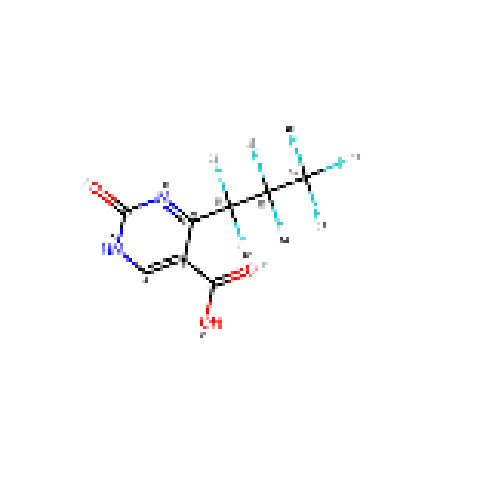 O=C(O)c1c[nH]c(=O)nc1C(F)(F)C(F)(F)C(F)(F)F